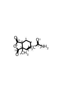 CC(N)=O.CC12C=CCCC1C(=O)OC2=O